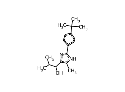 Cc1[nH]c(-c2ccc(C(C)(C)C)cc2)nc1C(O)C(C)C